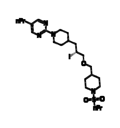 CCCc1cnc(N2CCC(C[C@@H](I)COCC3CCN(S(=O)(=O)CCC)CC3)CC2)nc1